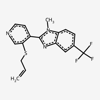 C=CCSc1cnccc1-c1nc2cc(C(F)(F)F)ccc2n1C